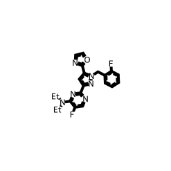 CCN(CC)c1nc(-c2cc(-c3ncco3)n(Cc3ccccc3F)n2)ncc1F